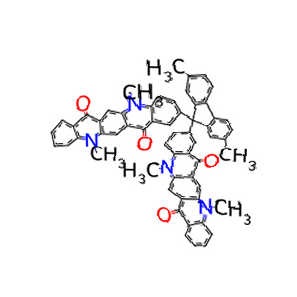 Cc1ccc2c(c1)C(c1ccc3c(c1)c(=O)c1cc4c(cc1n3C)c(=O)c1ccccc1n4C)(c1ccc3c(c1)c(=O)c1cc4c(cc1n3C)c(=O)c1ccccc1n4C)c1cc(C)ccc1-2